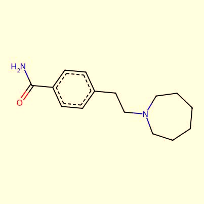 NC(=O)c1ccc(CCN2CCCCCC2)cc1